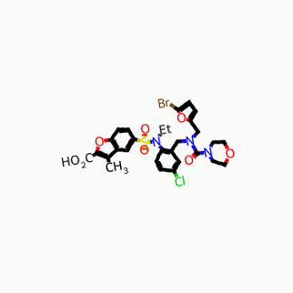 CCN(c1ccc(Cl)cc1CN(Cc1ccc(Br)o1)C(=O)N1CCOCC1)S(=O)(=O)c1ccc2oc(C(=O)O)c(C)c2c1